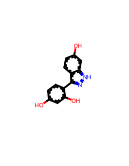 Oc1ccc(-c2n[nH]c3cc(O)ccc23)c(O)c1